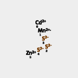 [Cd+2].[Mn+2].[S-2].[S-2].[S-2].[Zn+2]